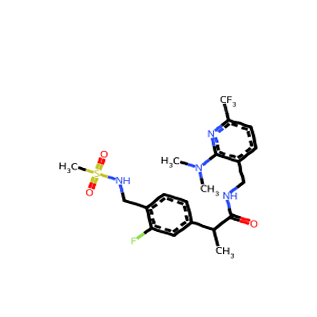 CC(C(=O)NCc1ccc(C(F)(F)F)nc1N(C)C)c1ccc(CNS(C)(=O)=O)c(F)c1